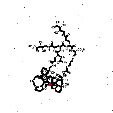 CCCC(=O)N[C@@H](CCC(=O)NC[C@H](O)[C@@H](O)[C@H](O)C(=O)O)C(=O)N[C@@H](CCC(=O)NC[C@H](O)[C@@H](O)[C@H](O)C(=O)O)C(=O)N[C@@H](CCC(=O)NC[C@H](O)[C@@H](O)[C@H](O)C(=O)O)C(=O)N[C@@H](CSSCCOC(=O)NNC(=O)[C@@]1(O)[C@H](O)[C@]2(CC)C=CCN3CC[C@@]4(c5cc([C@]6(C(=O)OC)c7[nH]c8ccccc8c7CCNC[C@@H]7CCCC6C7)c(OC)cc5N(C)[C@@H]14)[C@@H]32)C(=O)O